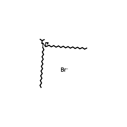 CCCCCCCCCCCCCCCCCC[N+](CC)(CCCCCCCCCCCCCCCCCC)CC(C)C.[Br-]